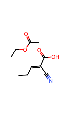 CC/C=C(\C#N)C(=O)O.CCOC(C)=O